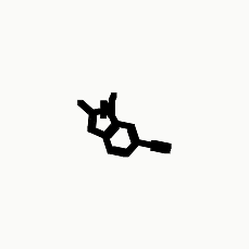 C#Cc1ccc2cc(C)n(C)c2c1